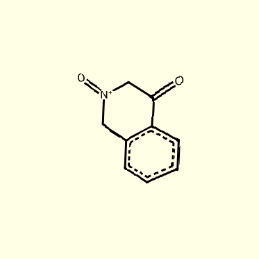 O=C1C[N+](=O)Cc2ccccc21